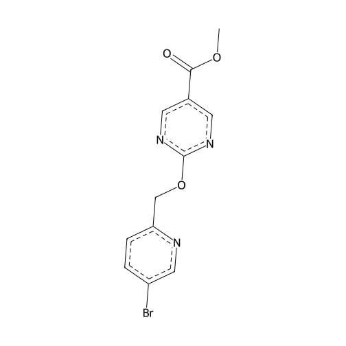 COC(=O)c1cnc(OCc2ccc(Br)cn2)nc1